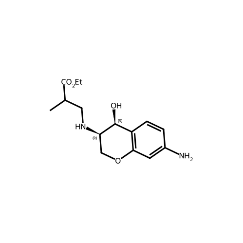 CCOC(=O)C(C)CN[C@@H]1COc2cc(N)ccc2[C@@H]1O